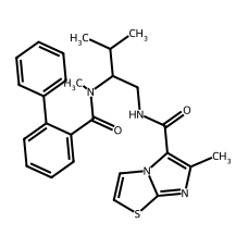 Cc1nc2sccn2c1C(=O)NCC(C(C)C)N(C)C(=O)c1ccccc1-c1ccccc1